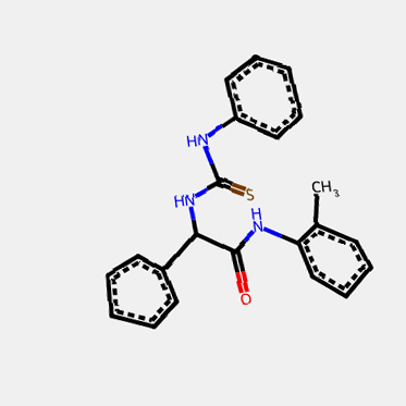 Cc1ccccc1NC(=O)C(NC(=S)Nc1ccccc1)c1ccccc1